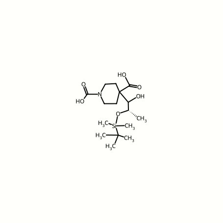 C[C@H](O[Si](C)(C)C(C)(C)C)C(O)C1(C(=O)O)CCN(C(=O)O)CC1